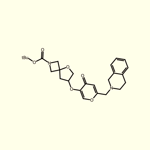 CC(C)(C)OC(=O)N1CC2(CC(Oc3coc(CN4CCc5ccccc5C4)cc3=O)CO2)C1